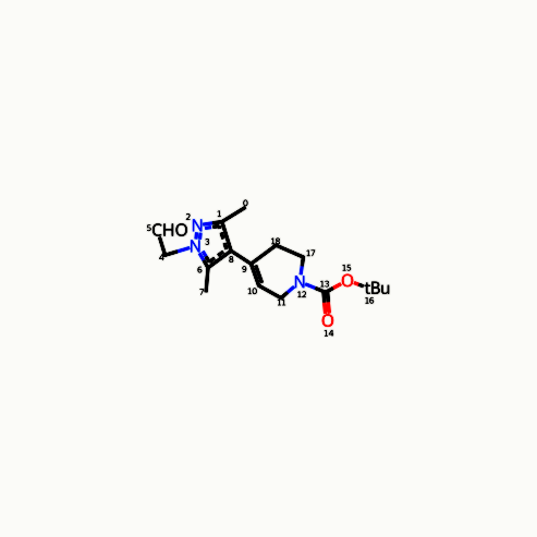 Cc1nn(CC=O)c(C)c1C1=CCN(C(=O)OC(C)(C)C)CC1